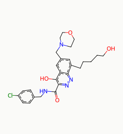 O=C(NCc1ccc(Cl)cc1)c1nnc2c(CCCCCO)cc(CN3CCOCC3)cc2c1O